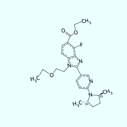 CCOCCn1c(-c2ccc(N3[C@@H](C)CC[C@@H]3C)nc2)nc2c(F)c(C(=O)OCC)ccc21